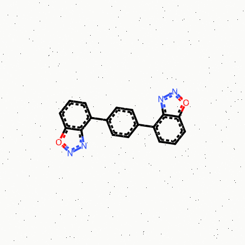 c1cc(-c2ccc(-c3cccc4onnc34)cc2)c2nnoc2c1